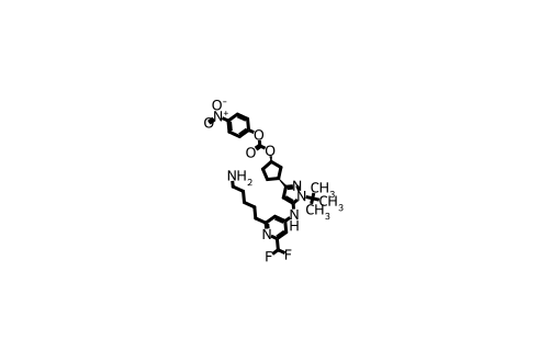 CC(C)(C)n1nc([C@H]2CC[C@@H](OC(=O)Oc3ccc([N+](=O)[O-])cc3)C2)cc1Nc1cc(CCCCCN)nc(C(F)F)c1